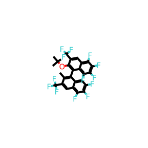 Cc1c(C(F)(F)F)cc2c(F)c(F)c(F)c(F)c2c1-c1c(OC(C)(C)C)c(C(F)(F)F)cc2c(F)c(F)c(F)c(F)c12